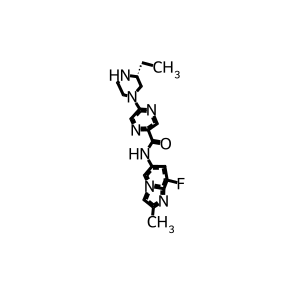 CC[C@@H]1CN(c2cnc(C(=O)Nc3cc(F)c4nc(C)cn4c3)cn2)CCN1